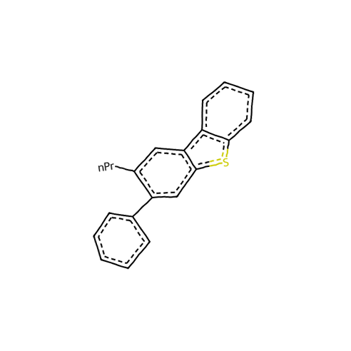 CCCc1cc2c(cc1-c1ccccc1)sc1ccccc12